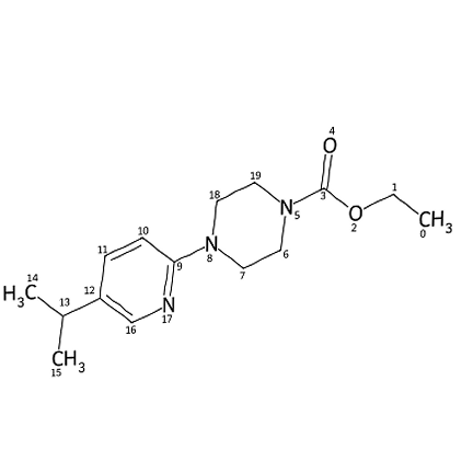 CCOC(=O)N1CCN(c2ccc(C(C)C)cn2)CC1